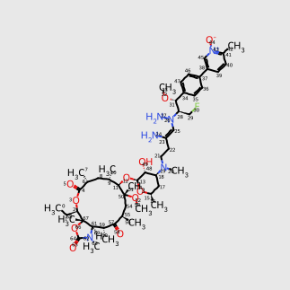 CC[C@H]1OC(=O)[C@H](C)C[C@H](C)[C@@H](O[C@@H]2O[C@H](C)C[C@H](N(C)CC/C(N)=C/N(N)[C@H](CF)[C@H](OC)c3ccc(-c4ccc(C)[n+]([O-])c4)cc3)[C@H]2O)[C@](C)(OC)C[C@@H](C)C(=O)[C@H](C)[C@H]2N(C)C(=O)O[C@]12C